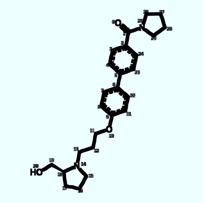 O=C(c1ccc(-c2ccc(OCCCN3CCC[C@H]3CO)cc2)cc1)N1CCCC1